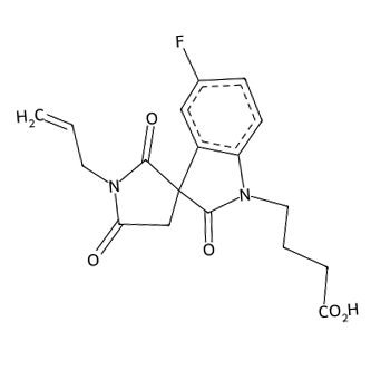 C=CCN1C(=O)CC2(C1=O)C(=O)N(CCCC(=O)O)c1ccc(F)cc12